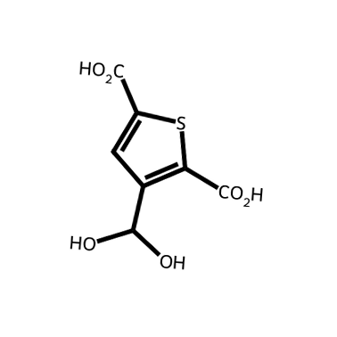 O=C(O)c1cc(C(O)O)c(C(=O)O)s1